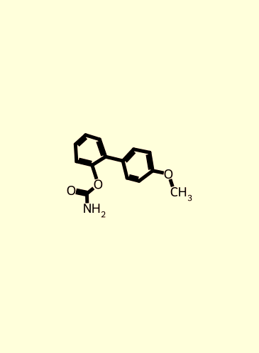 COc1ccc(-c2ccccc2OC(N)=O)cc1